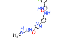 CNCCCNC(=O)c1cnc(-c2cccc(CNC(=O)/C=C\C(=N)c3cc(F)c(F)c(F)c3)c2)nc1